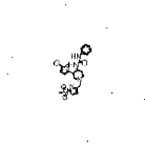 CS(=O)(=O)n1ccc(CN2CCC(NC(=O)Nc3ccccc3)C(c3ccc(Cl)s3)C2)n1